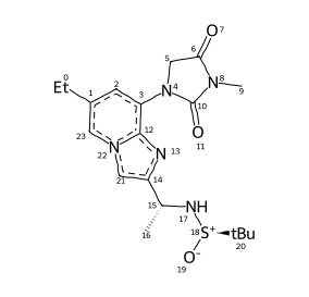 CCc1cc(N2CC(=O)N(C)C2=O)c2nc([C@@H](C)N[S@+]([O-])C(C)(C)C)cn2c1